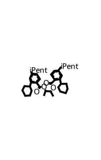 CCCC(C)c1ccc(C(=O)OC(C)C(C)OC(=O)c2ccc(C(C)CCC)cc2C2CCCCC2)c(C2CCCCC2)c1